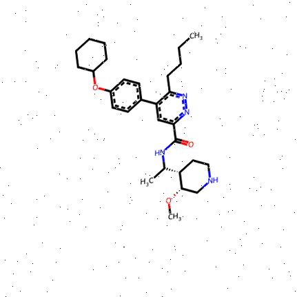 CCCCc1nnc(C(=O)NC(C)[C@@H]2CCNC[C@@H]2OC)cc1-c1ccc(OC2CCCCC2)cc1